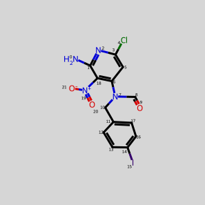 Nc1nc(Cl)cc(N(C=O)Cc2ccc(I)cc2)c1[N+](=O)[O-]